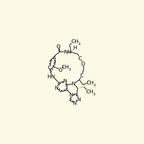 CCC1CCOCC[C@H](CC)NC(=O)c2ccc(c(OC)c2)Nc2ncc3c(n2)N1[C@H](CC)c1nncn1-3